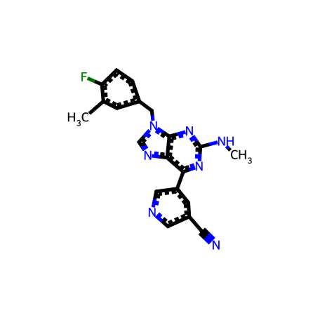 CNc1nc(-c2cncc(C#N)c2)c2ncn(Cc3ccc(F)c(C)c3)c2n1